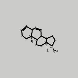 CC(=O)O[C@H]1CCC2C3C=CC4C=CCC[C@@H]4C3CC[C@@]21C